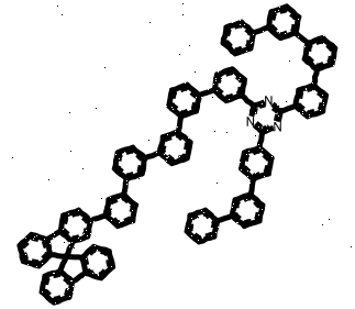 c1ccc(-c2cccc(-c3ccc(-c4nc(-c5cccc(-c6cccc(-c7cccc(-c8ccccc8)c7)c6)c5)nc(-c5cccc(-c6cccc(-c7cccc(-c8cccc(-c9cccc(-c%10ccc%11c(c%10)C%10(c%12ccccc%12-c%12ccccc%12%10)c%10ccccc%10-%11)c9)c8)c7)c6)c5)n4)cc3)c2)cc1